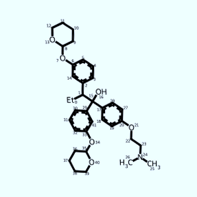 CCC(c1cccc(OC2CCCCO2)c1)C(O)(c1ccc(OCCN(C)C)cc1)c1cccc(OC2CCCCO2)c1